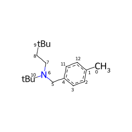 Cc1ccc(CN(CCC(C)(C)C)C(C)(C)C)cc1